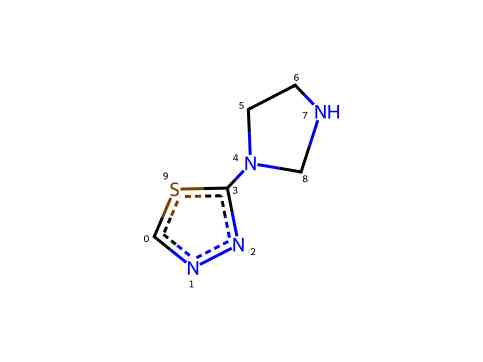 c1nnc(N2CCNC2)s1